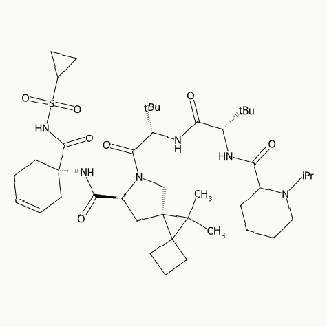 CC(C)N1CCCCC1C(=O)N[C@H](C(=O)N[C@H](C(=O)N1C[C@]2(C[C@H]1C(=O)N[C@]1(C(=O)NS(=O)(=O)C3CC3)CC=CCC1)C(C)(C)C21CCC1)C(C)(C)C)C(C)(C)C